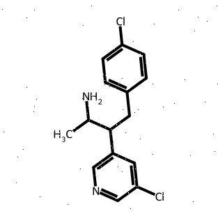 CC(N)C(Cc1ccc(Cl)cc1)c1cncc(Cl)c1